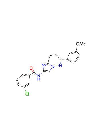 COc1cccc(-c2ccc3nc(NC(=O)c4cccc(Cl)c4)cn3n2)c1